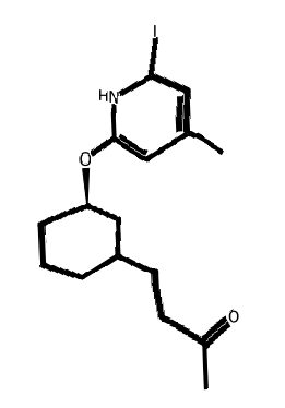 CC(=O)CCC1CCC[C@@H](OC2=CC(C)=CC(I)N2)C1